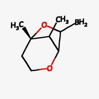 BC1O[C@@]2(C)CCOC1C2C